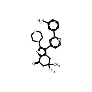 CC1(C)CC(=O)c2sc(N3CCOCC3)c(-c3ccnc(-c4cccc(N)c4)c3)c2C1